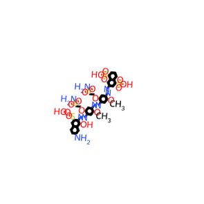 COc1cc(N=Nc2cc(OCCS(N)(=O)=O)c(N=Nc3c(SOOO)cc4ccc(N)cc4c3O)cc2OC)c(OCCS(N)(=O)=O)cc1N=Nc1cc(S(=O)(=O)O)c2cccc(S(=O)(=O)O)c2c1